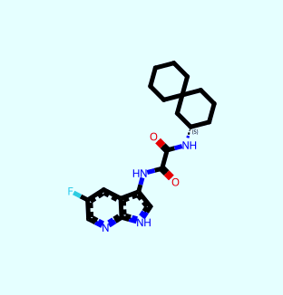 O=C(Nc1c[nH]c2ncc(F)cc12)C(=O)N[C@H]1CCCC2(CCCCC2)C1